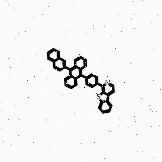 c1ccc2cc(-c3c4ccccc4c(-c4ccc(-c5nccc6c5sc5ccccc56)cc4)c4ccccc34)ccc2c1